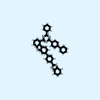 c1ccc(-c2ccc(-c3nc(-c4ccccc4)nc(-c4cccc5sc6cc(-c7ccc(-c8nc9ccccc9s8)cc7)ccc6c45)n3)cc2)cc1